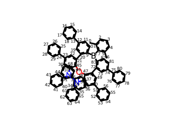 Cc1cccc(C)c1B1c2ccc(-c3ccccc3)cc2-c2cc(-c3ccccc3)cc(N(c3ccccc3)c3ccccc3)c2Oc2c(cc(-c3ccccc3)cc2N(c2ccccc2)c2ccccc2)-c2cc(-c3ccccc3)ccc21